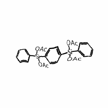 CC(=O)O[Si](OC(C)=O)(c1ccccc1)c1ccc([Si](OC(C)=O)(OC(C)=O)c2ccccc2)cc1